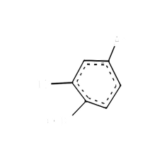 CC(=O)c1ccc(C=O)c(O)c1